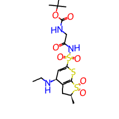 CCN[C@H]1C=C(S(=O)(=O)NC(=O)CNC(=O)OC(C)(C)C)SC2=C1C[C@H](C)S2(=O)=O